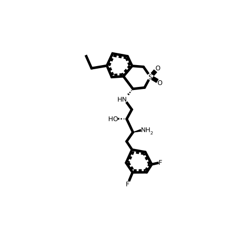 CCc1ccc2c(c1)[C@@H](NC[C@@H](O)[C@@H](N)Cc1cc(F)cc(F)c1)CS(=O)(=O)C2